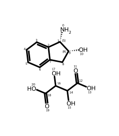 N[C@H]1c2ccccc2C[C@H]1O.O=C(O)C(O)C(O)C(=O)O